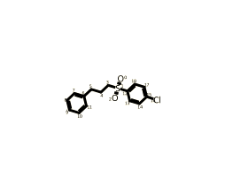 O=S(=O)(CCCc1cc[c]cc1)c1ccc(Cl)cc1